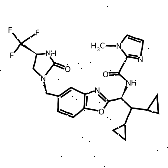 Cn1ccnc1C(=O)N[C@H](c1nc2cc(CN3C[C@@H](C(F)(F)F)NC3=O)ccc2o1)C(C1CC1)C1CC1